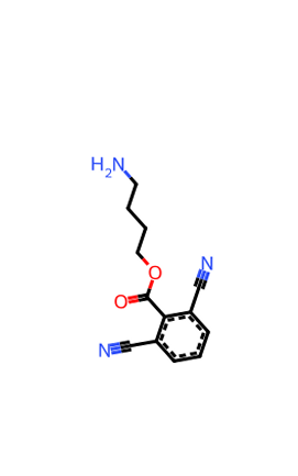 N#Cc1cccc(C#N)c1C(=O)OCCCCN